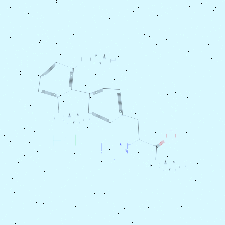 COC(=O)C(N)Cc1ccc(-c2c(OC)cccc2OC)cc1.Cl